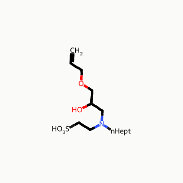 C=CCOCC(O)CN(CCCCCCC)CCS(=O)(=O)O